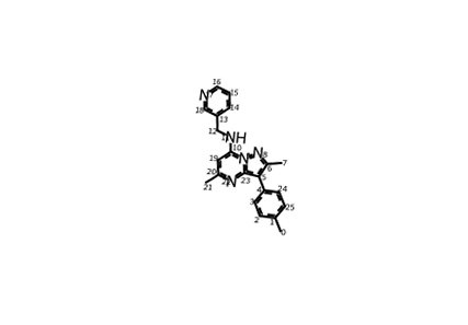 Cc1ccc(-c2c(C)nn3c(NCc4cccnc4)cc(C)nc23)cc1